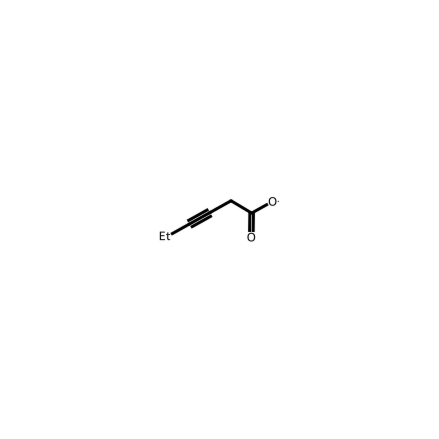 CCC#CCC([O])=O